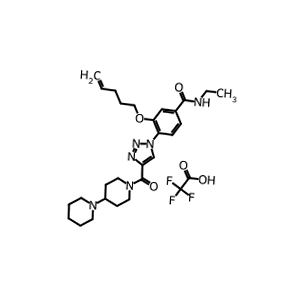 C=CCCCOc1cc(C(=O)NCC)ccc1-n1cc(C(=O)N2CCC(N3CCCCC3)CC2)nn1.O=C(O)C(F)(F)F